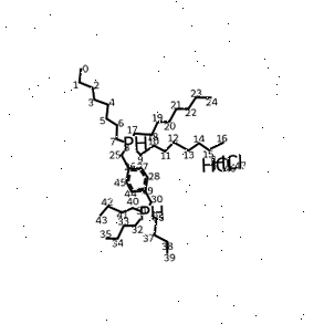 CCCCCCCC[PH](CCCCCCCC)(CCCCCCCC)Cc1ccc(C[PH](CCCC)(CCCC)CCCC)cc1.Cl.Cl